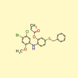 C=CC(=O)Oc1cc(SCc2ccccc2)ccc1Nc1cc(Cl)c(Br)cc1OC